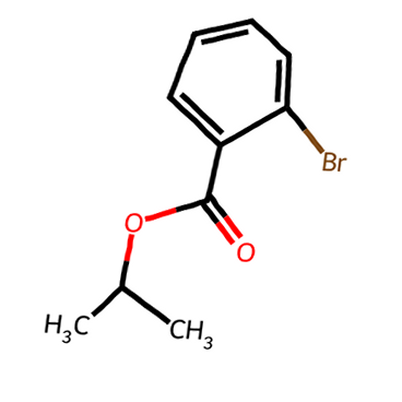 CC(C)OC(=O)c1ccccc1Br